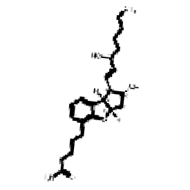 CCCCC[C@H](O)C=C[C@@H]1[C@H]2c3cccc(CCCCC(N)=O)c3O[C@H]2C[C@H]1O